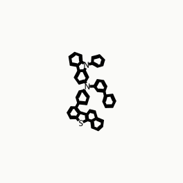 c1ccc(-c2cccc(N(c3ccc(-c4cccc5sc6c7ccccc7ccc6c45)cc3)c3ccc4c5ccccc5n(-c5ccccc5)c4c3)c2)cc1